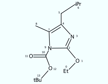 CCOc1nc(CC(C)C)c(C)n1C(=O)OC(C)(C)C